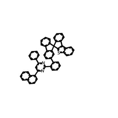 c1ccc(-c2cc(-c3cccc4ccccc34)nc(-c3ccccc3-c3ccc4c(c3)C3(c5ccccc5-4)c4ccccc4-c4c3sc3ccccc43)n2)cc1